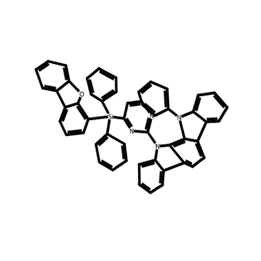 c1ccc(-n2c3ccccc3c3ccc4c5ccccc5n(-c5nccc([Si](c6ccccc6)(c6ccccc6)c6cccc7c6oc6ccccc67)n5)c4c32)cc1